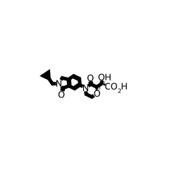 O=C(O)[C@H](O)[C@H]1OCCN(c2ccc3c(c2)C(=O)N(CC2CC2)C3)C1=O